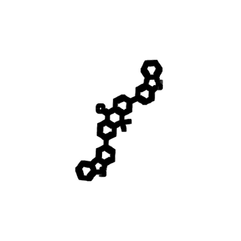 CC1(C)c2cc(-c3ccc4sc5ccccc5c4c3)ccc2C(=O)c2ccc(-c3ccc4sc5ccccc5c4c3)cc21